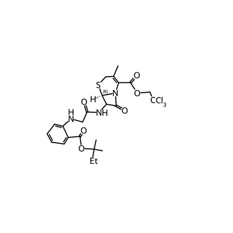 CCC(C)(C)OC(=O)c1ccccc1NCC(=O)NC1C(=O)N2C(C(=O)OCC(Cl)(Cl)Cl)=C(C)CS[C@H]12